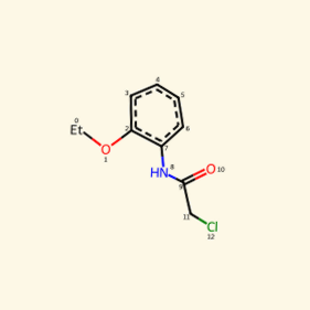 CCOc1ccccc1NC(=O)CCl